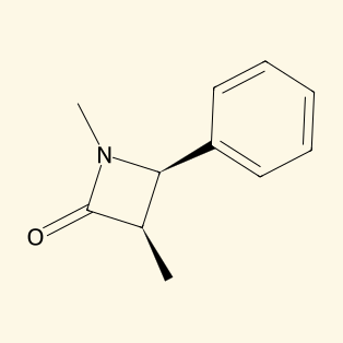 C[C@H]1C(=O)N(C)[C@H]1c1ccccc1